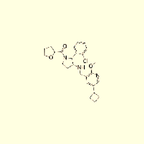 COc1ncc(C2CCC2)cc1CNC1CCN(C(=O)[C@@H]2CCCO2)C1c1ccccc1Cl